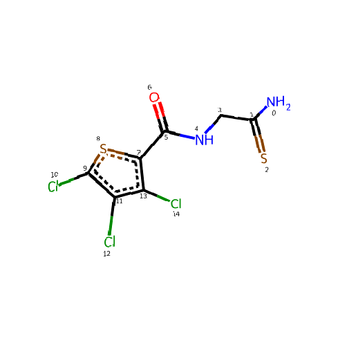 NC(=S)CNC(=O)c1sc(Cl)c(Cl)c1Cl